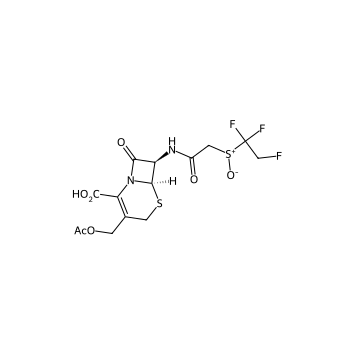 CC(=O)OCC1=C(C(=O)O)N2C(=O)[C@@H](NC(=O)C[S+]([O-])C(F)(F)CF)[C@H]2SC1